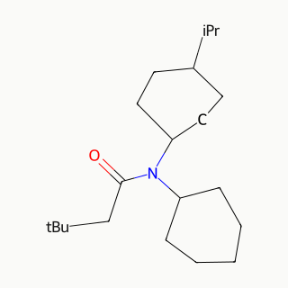 CC(C)C1CCC(N(C(=O)CC(C)(C)C)C2CCCCC2)CC1